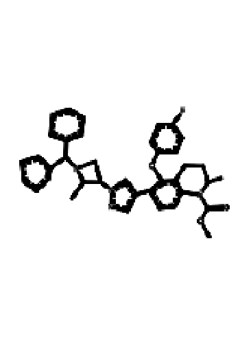 COC(=O)N1c2ccc(-c3cnn(C4CN(C(c5ccccc5)c5ccccc5)C4C)c3)c(Oc3ccc(F)cc3)c2CCC1C